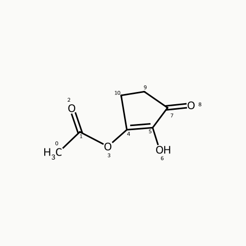 CC(=O)OC1=C(O)C(=O)CC1